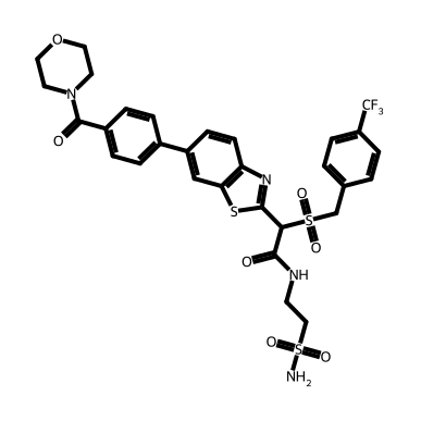 NS(=O)(=O)CCNC(=O)C(c1nc2ccc(-c3ccc(C(=O)N4CCOCC4)cc3)cc2s1)S(=O)(=O)Cc1ccc(C(F)(F)F)cc1